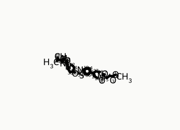 COC(=O)CCS(=O)(=O)N1CC=C(c2ccc3nc(OC4CCN(c5nc(C(C)C)no5)CC4)sc3c2)CC1